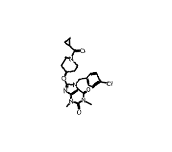 Cn1c(=O)c2c(nc(OC3CCN(C(=O)C4CC4)CC3)n2Cc2ccc(Cl)cc2)n(C)c1=O